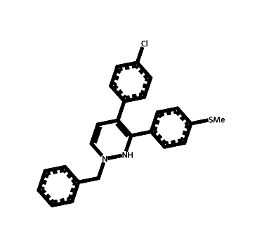 CSc1ccc(C2=C(c3ccc(Cl)cc3)C=CN(Cc3ccccc3)N2)cc1